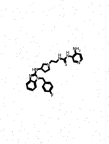 Nc1ccncc1NC(=S)NCCN1CCC(Nc2nc3ccccc3n2Cc2ccc(F)cc2)C1